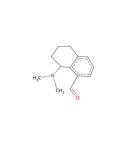 CN(C)C1CCCc2cccc(C=O)c21